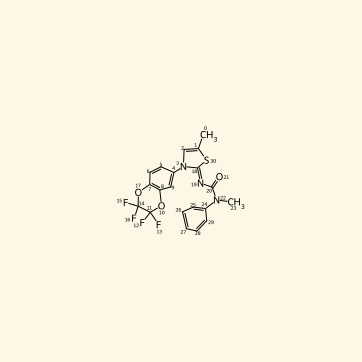 Cc1cn(-c2ccc3c(c2)OC(F)(F)C(F)(F)O3)c(=NC(=O)N(C)c2ccccc2)s1